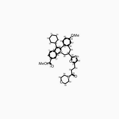 COC(=O)c1ccc2c(C3CCCCC3)c3n(c2c1)CC(c1ncc(CCC(=O)N2CCOCC2)o1)Cc1cc(OC)ccc1-3